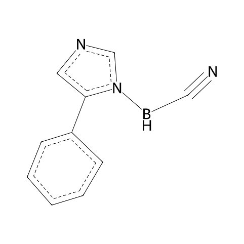 N#CBn1cncc1-c1ccccc1